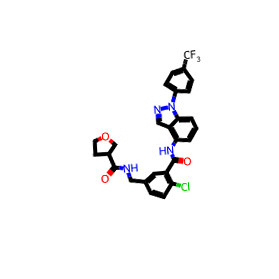 O=C(Nc1cccc2c1cnn2-c1ccc(C(F)(F)F)cc1)c1cc(CNC(=O)C2CCOC2)ccc1Cl